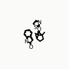 CC12CCC(CC1=O)C2(C)C.O=C1C=c2ccccc2=N1.c1cscn1